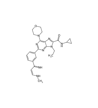 CCn1c(C(=O)NC2CC2)nc2c(N3CCOCC3)nc(-c3cccc(C(=N)/C=C\NC)c3)nc21